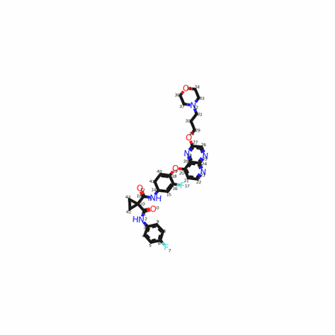 O=C(Nc1ccc(F)cc1)C1(C(=O)NC2C=C(F)C(Oc3ccnc4ncc(OCCCN5CCOCC5)nc34)=CC2)CC1